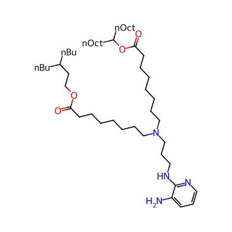 CCCCCCCCC(CCCCCCCC)OC(=O)CCCCCCCN(CCCCCCCC(=O)OCCC(CCCC)CCCC)CCCNc1ncccc1N